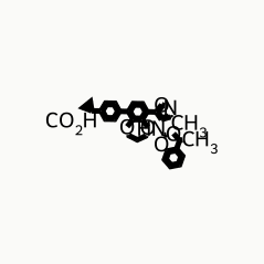 Cc1noc(-c2ccc(-c3ccc(C4(C(=O)O)CC4)cc3)c3c2OCCCO3)c1NC(=O)OC(C)c1ccccc1